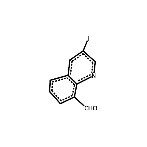 O=Cc1cccc2cc(I)cnc12